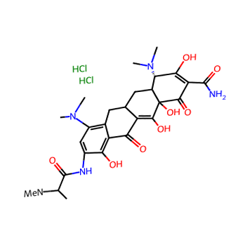 CNC(C)C(=O)Nc1cc(N(C)C)c2c(c1O)C(=O)C1=C(O)C3(O)C(=O)C(C(N)=O)=C(O)[C@@H](N(C)C)C3CC1C2.Cl.Cl